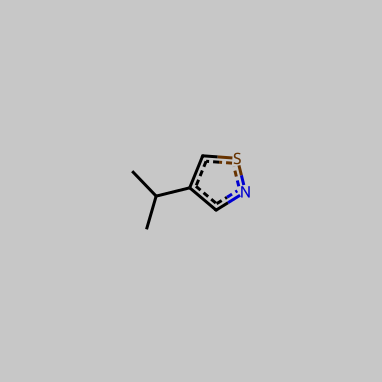 CC(C)c1cnsc1